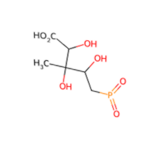 CC(O)(C(O)CP(=O)=O)C(O)C(=O)O